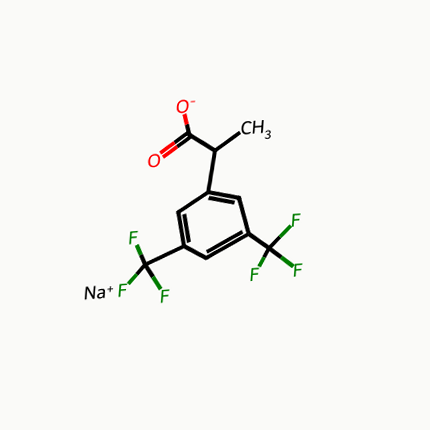 CC(C(=O)[O-])c1cc(C(F)(F)F)cc(C(F)(F)F)c1.[Na+]